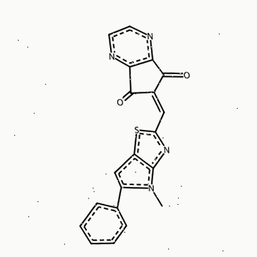 Cn1c(-c2ccccc2)cc2sc(C=C3C(=O)c4nccnc4C3=O)nc21